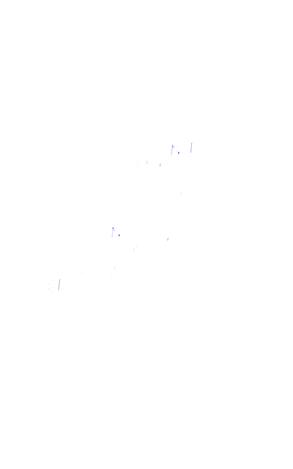 NC(=O)c1ccc(Cl)c(-c2nc3cc(Cl)ccc3s2)c1